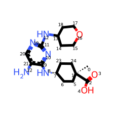 C[C@]1(C(=O)O)CC[C@H](Nc2nc(NC3CCOCC3)ncc2N)CC1